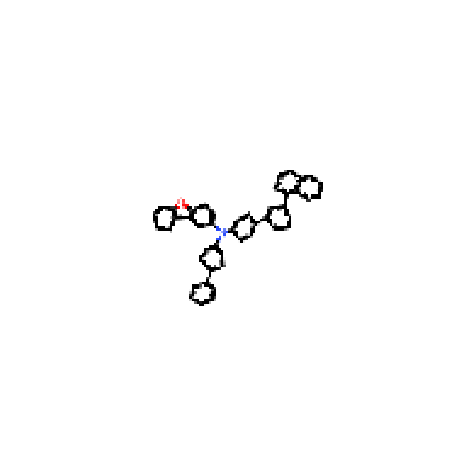 c1ccc(-c2ccc(N(c3ccc(-c4cccc(-c5cccc6ccccc56)c4)cc3)c3ccc4oc5ccccc5c4c3)cc2)cc1